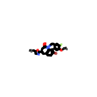 COc1ccc(CN2C(=O)CC(c3ncc(C)o3)=Cc3ccc(Br)cc32)cc1F